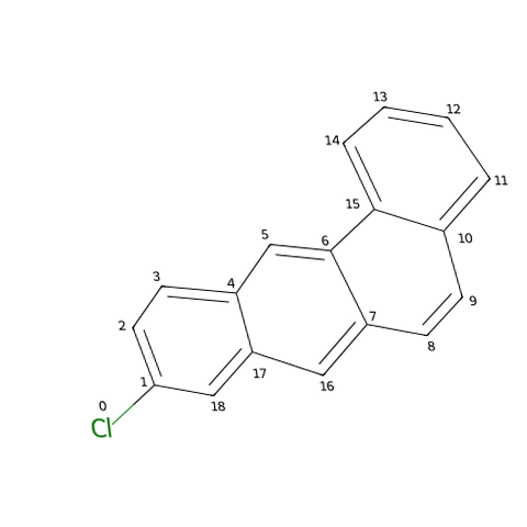 Clc1ccc2cc3c(ccc4ccccc43)cc2c1